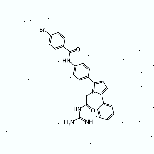 N=C(N)NC(=O)Cn1c(-c2ccccc2)ccc1-c1ccc(NC(=O)c2ccc(Br)cc2)cc1